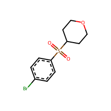 O=S(=O)(c1ccc(Br)cc1)C1CCOCC1